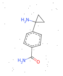 NC(=O)c1ccc(C2(N)CC2)cc1